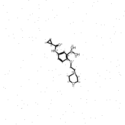 O=C(Nc1ccc(OCCN2CCOCC2)c(B(O)O)c1)C1CC1